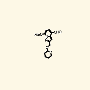 COc1ccc(C=O)c2cc(COC3CCCCO3)nn12